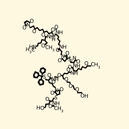 CCC(=O)CCCCCC(NC(=O)CCC(COCCOCCOCCO)OCCNC(=O)C(CSC(c1ccccc1)(c1ccccc1)c1ccccc1)CC(=O)CCN1C(=O)CC(SCC(NC(C)=O)C(=O)CCCO)C1=O)C(=O)NC(CSC1CC(=O)N(CCC(=O)NCCCCC(NC=O)NC(=O)C(CCCCCC(=O)CCN2C(=O)C=CC2=O)NC(=O)C(CCCCNC)CC(C)=O)C1=O)C(N)=O